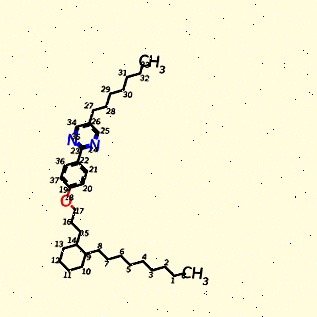 CCCCCCCCCC1CCCCC1CCCOc1ccc(-c2ncc(CCCCCCC)cn2)cc1